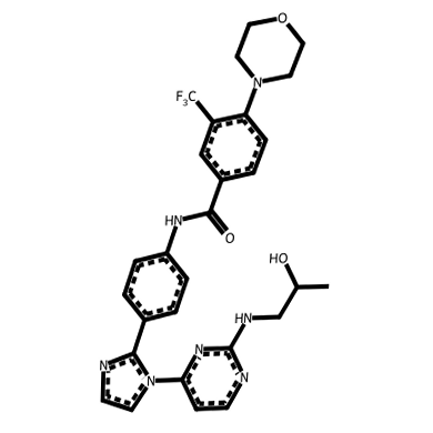 CC(O)CNc1nccc(-n2ccnc2-c2ccc(NC(=O)c3ccc(N4CCOCC4)c(C(F)(F)F)c3)cc2)n1